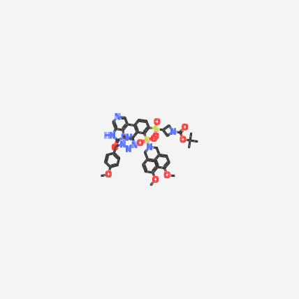 COc1ccc(CN(Cc2ccc(OC)cc2)S(=O)(=O)c2c(S(=O)(=O)C3CN(C(=O)OC(C)(C)C)C3)ccc(-c3cncc4[nH]c(=O)[nH]c34)c2-c2nnn(Cc3ccc(OC)cc3)n2)cc1